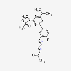 CC(=O)/C=C/C=C/c1cc(-c2cc(C(C)C)nc(N(C)S(C)(=O)=O)n2)ccc1F